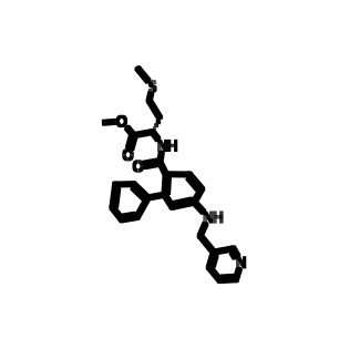 COC(=O)[C@H](CCSC)NC(=O)c1ccc(NCc2cccnc2)cc1-c1ccccc1